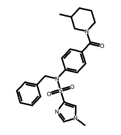 CC1CCCN(C(=O)c2ccc(N(Cc3ccccc3)S(=O)(=O)c3cn(C)cn3)cc2)C1